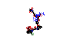 NC(=O)NCCC[C@H](NC(=O)CNC(=O)CCCCCN1C(=O)C=CC1=O)C(=O)Nc1ccc(COc2cc3c(c4ccccc24)CCN3C(=O)CCCC(=O)N2C[C@@H](CCl)c3c2cc(OP(=O)(O)O)c2ccccc32)cc1